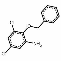 Nc1cc(Cl)cc(Cl)c1OCc1ccccc1